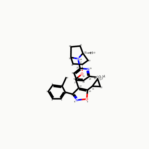 Cc1ccccc1-c1noc(C2CC2)c1CO[C@@H]1CC2CC[C@@H](C1)N2c1cccc(C(=O)O)n1